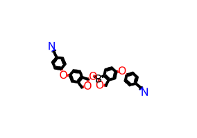 N#Cc1ccc(Oc2ccc3c(c2)COB3OC2OCc3cc(Oc4ccc(C#N)cc4)ccc32)cc1